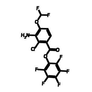 Nc1c(OC(F)F)ccc(C(=O)Oc2c(F)c(F)c(F)c(F)c2F)c1Cl